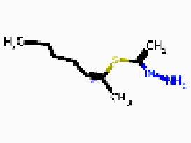 C=C(NN)S/C(C)=C\CCCC